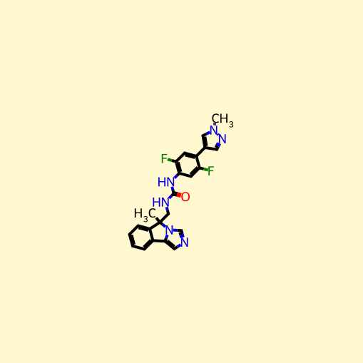 Cn1cc(-c2cc(F)c(NC(=O)NCC3(C)c4ccccc4-c4cncn43)cc2F)cn1